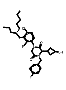 CCCCC[C@H](CCC)Cc1c(Cl)ccc(N2CC(=O)N(Cc3ccc(F)cc3)C(C3CC(O)C3)C2=O)c1F